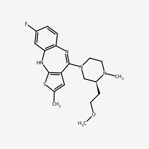 COCC[C@H]1CN(C2=Nc3ccc(F)cc3Nc3sc(C)cc32)CCN1C